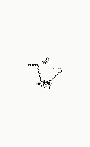 CCCCCCCC/C=C\CCCCCCCC(=O)NC(C)C(N)(CO)C(C)NC(=O)CCCCCCC/C=C\CCCCCCCC.COS(=O)(=O)O